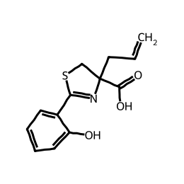 C=CCC1(C(=O)O)CSC(c2ccccc2O)=N1